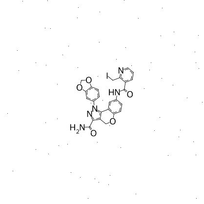 NC(=O)c1nn(-c2ccc3c(c2)OCO3)c2c1COc1ccc(NC(=O)c3cccnc3CI)cc1-2